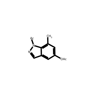 CC(=O)Oc1cc(C)c2c(cnn2C(C)=O)c1